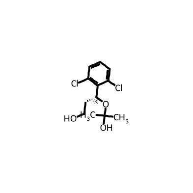 CC(C)(O)O[C@H](CCO)c1c(Cl)cccc1Cl